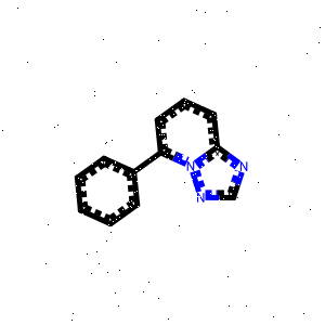 [c]1nc2cccc(-c3ccccc3)n2n1